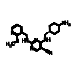 CSc1ncccc1CNc1ncc(C#N)c(NC[C@H]2CC[C@H](N)CC2)n1